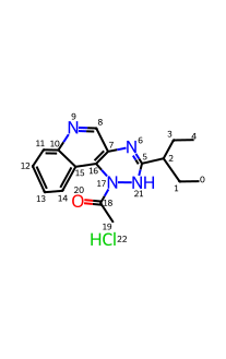 CCC(CC)C1=Nc2cnc3ccccc3c2N(C(C)=O)N1.Cl